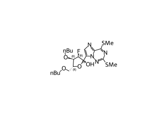 CCCCOC[C@H]1O[C@@](O)(c2cnc3c(SC)nc(SC)nn23)[C@H](F)[C@@H]1OCCCC